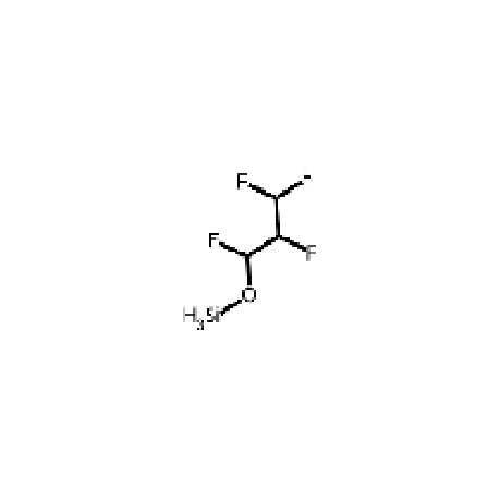 FC(F)C(F)C(F)O[SiH3]